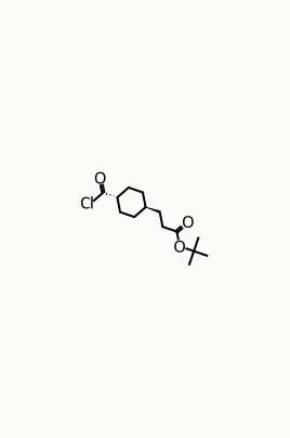 CC(C)(C)OC(=O)CC[C@H]1CC[C@H](C(=O)Cl)CC1